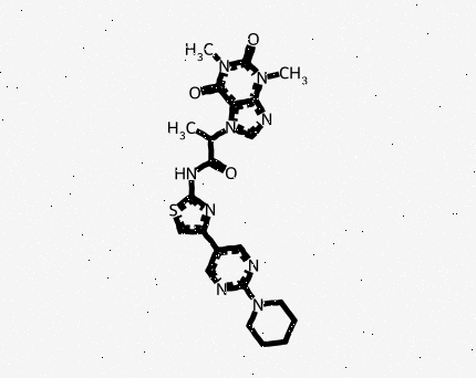 CC(C(=O)Nc1nc(-c2cnc(N3CCCCC3)nc2)cs1)n1cnc2c1c(=O)n(C)c(=O)n2C